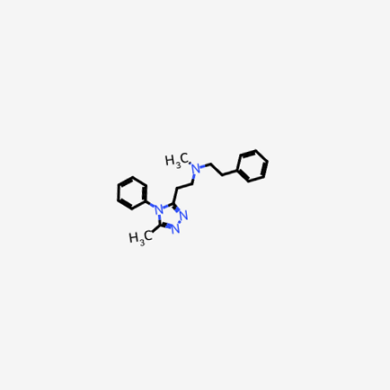 Cc1nnc(CCN(C)CCc2ccccc2)n1-c1ccccc1